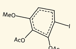 COc1ccc(I)c(OC(C)=O)c1OC(C)=O